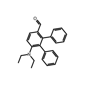 CCN(CC)c1ccc(C=O)c(-c2ccccc2)c1-c1ccccc1